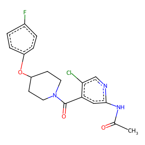 CC(=O)Nc1cc(C(=O)N2CCC(Oc3ccc(F)cc3)CC2)c(Cl)cn1